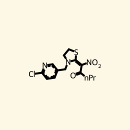 CCCC(=O)C(=C1SCCN1Cc1ccc(Cl)nc1)[N+](=O)[O-]